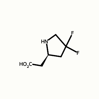 O=C(O)C[C@@H]1CC(F)(F)CN1